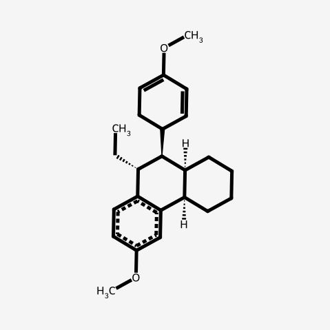 CC[C@H]1c2ccc(OC)cc2[C@@H]2CCCC[C@@H]2[C@@H]1C1C=CC(OC)=CC1